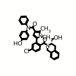 Cc1c(C(=O)N(c2ccccc2)c2ccc(O)cc2)cc(-c2cc(Cl)ccc2C(=O)N2Cc3ccccc3C[C@H]2CO)n1C